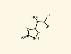 O=C1NCC(C(O)C(F)F)O1